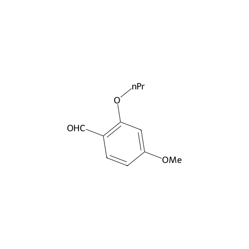 CCCOc1cc(OC)ccc1C=O